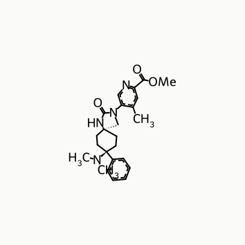 COC(=O)c1cc(C)c(N2C[C@]3(CC[C@](c4ccccc4)(N(C)C)CC3)NC2=O)cn1